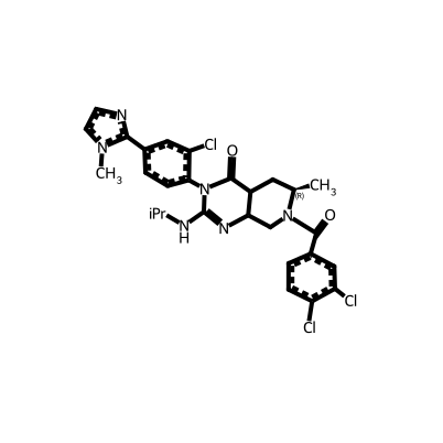 CC(C)NC1=NC2CN(C(=O)c3ccc(Cl)c(Cl)c3)[C@H](C)CC2C(=O)N1c1ccc(-c2nccn2C)cc1Cl